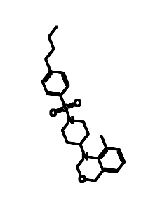 CCCCc1ccc(S(=O)(=O)N2CCC(N3COCc4cccc(C)c43)CC2)cc1